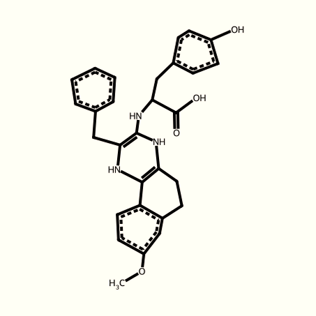 COc1ccc2c(c1)CCC1=C2NC(Cc2ccccc2)=C(NC(Cc2ccc(O)cc2)C(=O)O)N1